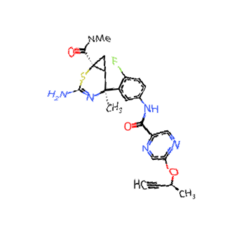 C#C[C@H](C)Oc1cnc(C(=O)Nc2ccc(F)c([C@@]3(C)N=C(N)S[C@@]4(C(=O)NC)CC43)c2)cn1